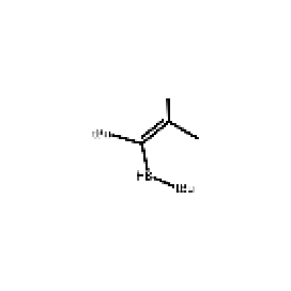 CC(C)=C(BC(C)(C)C)C(C)(C)C